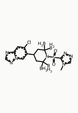 BC1(B)CC(c2cn3ncnc3cc2Cl)CC(B)(B)N1S(=O)(=O)c1nncn1C